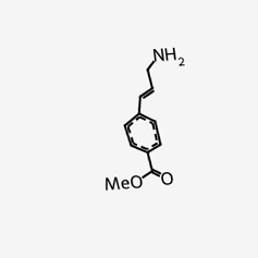 COC(=O)c1ccc(C=CCN)cc1